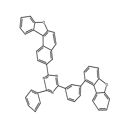 c1ccc(-c2nc(-c3cccc(-c4cccc5oc6ccccc6c45)c3)nc(-c3ccc4c(ccc5oc6ccccc6c54)c3)n2)cc1